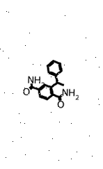 CC(c1ccccc1)c1cc(C(N)=O)ccc1C(N)=O